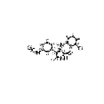 Cc1[nH]c(=S)n(Nc2cccc(Cl)c2)c1-c1cccc(N=C=O)c1